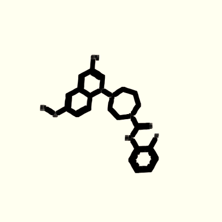 CCOC1=CC2=CC(C#N)=CN(N3CCCN(C(=S)Nc4ccccc4F)CC3)C2C=C1